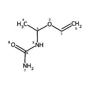 C=COC(C)NC(N)=O